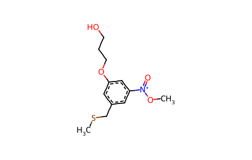 CO[N+](=O)c1cc(CSC)cc(OCCCO)c1